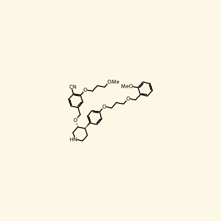 COCCCOc1cc(CO[C@H]2CNCC[C@@H]2c2ccc(OCCCOCc3ccccc3OC)cc2)ccc1C#N